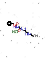 Cl.N#CCCNCCCCNC(=O)CNC(=O)OCc1ccccc1